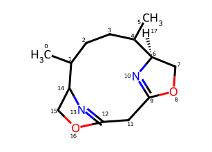 CC1CCC(C)[C@H]2COC(=N2)CC2=NC1CO2